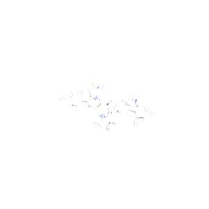 NC(=O)c1cc2cc(Br)ccc2c(Cl)c1NC(=O)c1cc(Cn2cc3c(Cl)cccc3n2)nn1-c1ncccc1Cl